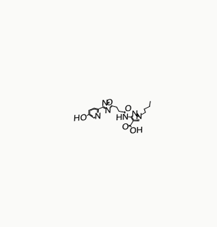 CCCCn1cc(C(=O)O)c(NC(=O)CCc2nc(-c3ccc(O)cn3)no2)n1